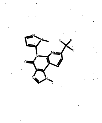 Cn1nccc1-n1c(=O)c2ncn(C)c2c2ccc(C(F)(F)F)nc21